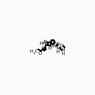 CCC(=O)c1ccc(-c2[nH]nc3c2C(=O)c2c(NC(=O)NC4CNCCO4)cccc2-3)s1